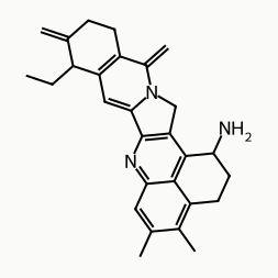 C=C1CCC2=C(C=C3c4nc5cc(C)c(C)c6c5c(c4CN3C2=C)C(N)CC6)C1CC